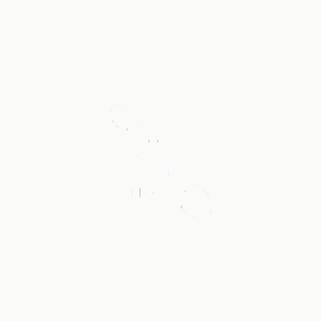 O/C(=C\C(=S)Oc1ccccc1)c1ccccc1